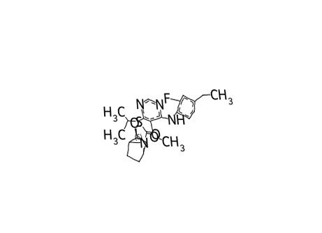 CCc1ccc(Nc2ncnc(O[C@H]3CC4CCC3N4C(=O)SC(C)C)c2OC)c(F)c1